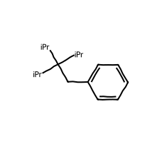 CC(C)C(Cc1ccccc1)(C(C)C)C(C)C